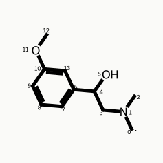 [CH2]N(C)CC(O)c1cccc(OC)c1